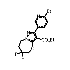 CCOC(=O)c1c(-c2ccc(CC)nc2)nn2c1OCC(F)(F)CC2